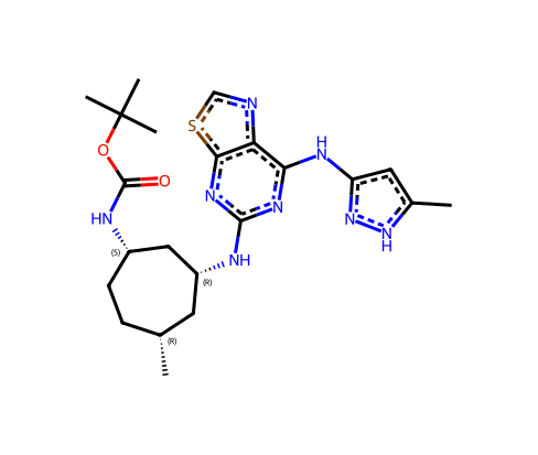 Cc1cc(Nc2nc(N[C@@H]3C[C@H](C)CC[C@H](NC(=O)OC(C)(C)C)C3)nc3scnc23)n[nH]1